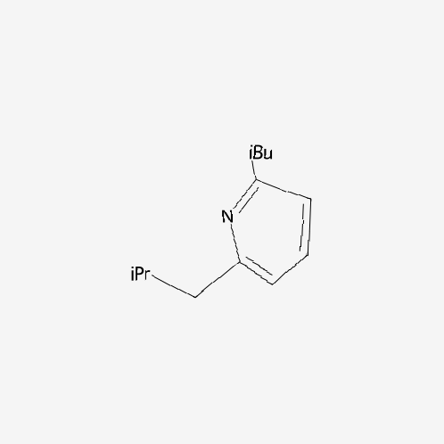 CCC(C)c1cccc(CC(C)C)n1